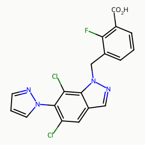 O=C(O)c1cccc(Cn2ncc3cc(Cl)c(-n4cccn4)c(Cl)c32)c1F